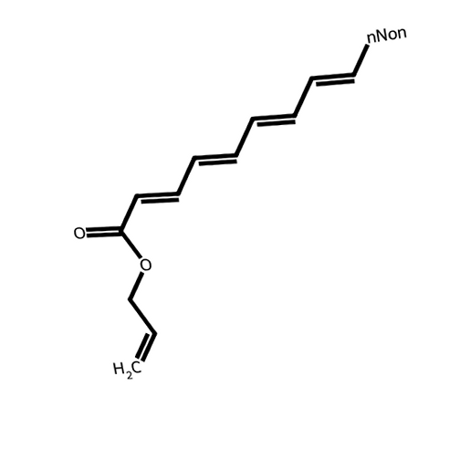 C=CCOC(=O)C=CC=CC=CC=CCCCCCCCCC